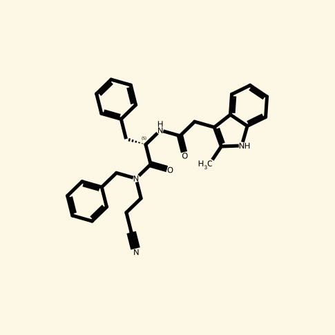 Cc1[nH]c2ccccc2c1CC(=O)N[C@@H](Cc1ccccc1)C(=O)N(CCC#N)Cc1ccccc1